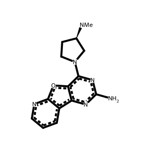 CN[C@@H]1CCN(c2nc(N)nc3c2oc2ncccc23)C1